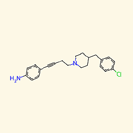 Nc1ccc(C#CCCN2CCC(Cc3ccc(Cl)cc3)CC2)cc1